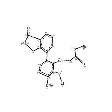 CCOc1c(OC)ccc(-c2cccc3c2CNC3=O)c1OCC(=O)OC(C)CC